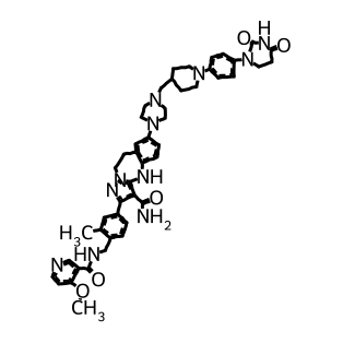 COc1ccncc1C(=O)NCc1ccc(-c2nn3c(c2C(N)=O)Nc2ccc(N4CCN(CC5CCN(c6ccc(N7CCC(=O)NC7=O)cc6)CC5)CC4)cc2CC3)cc1C